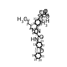 CCCCCn1cc(C(=O)Nc2ccc(Oc3ccccc3)cc2)nc1-c1ccc(SC(C)(C)C(=O)O)cc1